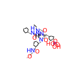 C=CCN1CC(=O)N2[C@@H](Cc3ccc(OP(=O)(O)O)cc3)C(=O)N(Cc3cccc(C(=O)NCCOC)c3)C[C@@H]2N1C(=O)NCc1ccccc1